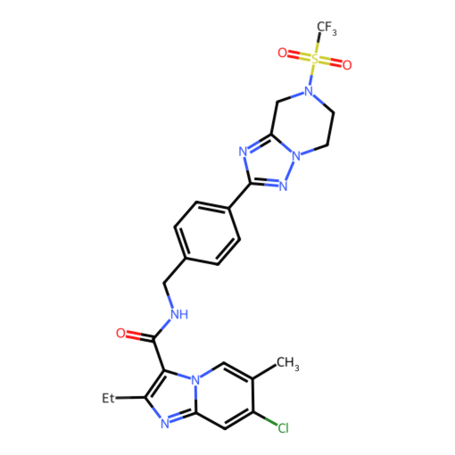 CCc1nc2cc(Cl)c(C)cn2c1C(=O)NCc1ccc(-c2nc3n(n2)CCN(S(=O)(=O)C(F)(F)F)C3)cc1